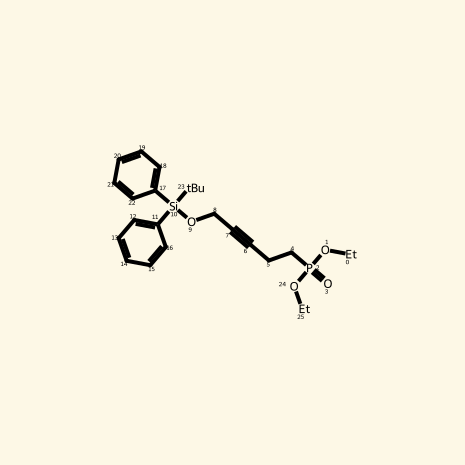 CCOP(=O)(CCC#CCO[Si](c1ccccc1)(c1ccccc1)C(C)(C)C)OCC